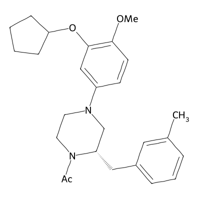 COc1ccc(N2CCN(C(C)=O)[C@@H](Cc3cccc(C)c3)C2)cc1OC1CCCC1